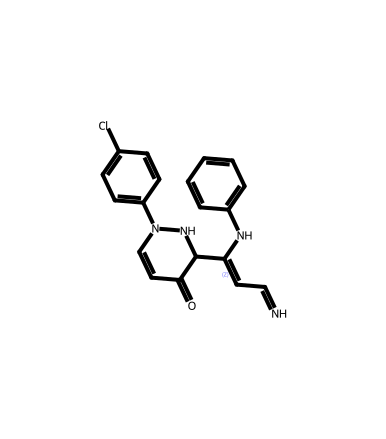 N=C/C=C(\Nc1ccccc1)C1NN(c2ccc(Cl)cc2)C=CC1=O